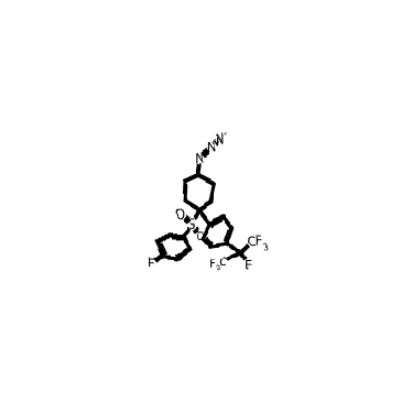 [N-]=[N+]=NC1CCC(c2ccc(C(F)(C(F)(F)F)C(F)(F)F)cc2)(S(=O)(=O)c2ccc(F)cc2)CC1